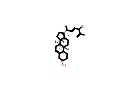 C=C(C)C(C=CC(C)[C@H]1CC[C@H]2[C@@H]3CC=C4C[C@@H](O)CC[C@]4(C)[C@H]3CC[C@]12C)CC